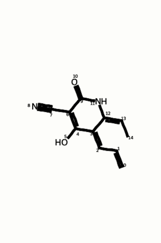 C=C/C=c1/c(O)c(C#N)c(=O)[nH]/c1=C/C